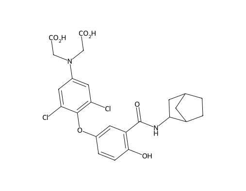 O=C(O)CN(CC(=O)O)c1cc(Cl)c(Oc2ccc(O)c(C(=O)NC3CC4CCC3C4)c2)c(Cl)c1